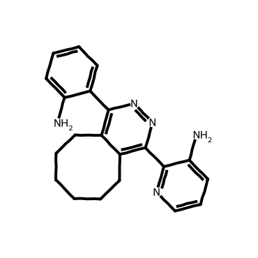 Nc1ccccc1-c1nnc(-c2ncccc2N)c2c1CCCCCC2